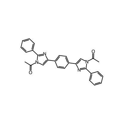 CC(=O)n1cc(-c2ccc(-c3cn(C(C)=O)c(-c4ccccc4)n3)cc2)nc1-c1ccccc1